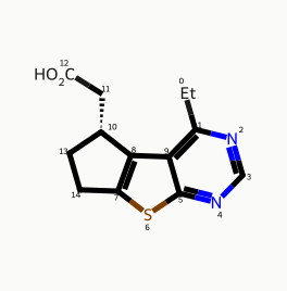 CCc1ncnc2sc3c(c12)[C@@H](CC(=O)O)CC3